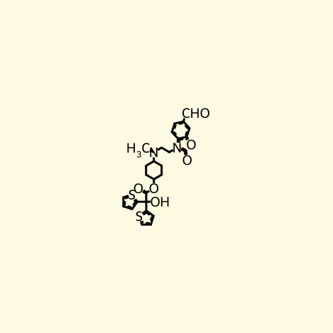 CN(CCn1c(=O)oc2cc(C=O)ccc21)C1CCC(OC(=O)C(O)(c2cccs2)c2cccs2)CC1